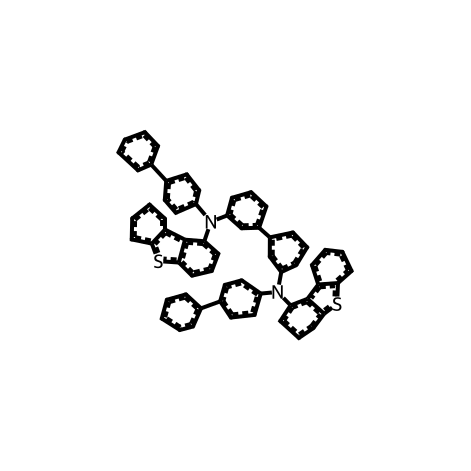 c1ccc(-c2ccc(N(c3cccc(-c4cccc(N(c5ccc(-c6ccccc6)cc5)c5cccc6sc7ccccc7c56)c4)c3)c3cccc4sc5ccccc5c34)cc2)cc1